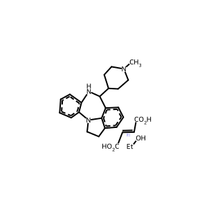 CCO.CN1CCC(C2Nc3ccccc3N3CCc4cccc2c43)CC1.O=C(O)/C=C/C(=O)O